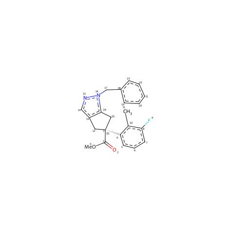 COC(=O)[C@@]1(c2cccc(F)c2C)Cc2cnn(Cc3ccccc3)c2C1